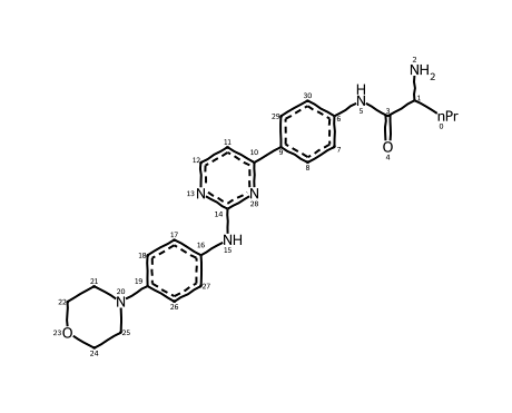 CCCC(N)C(=O)Nc1ccc(-c2ccnc(Nc3ccc(N4CCOCC4)cc3)n2)cc1